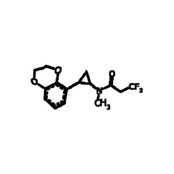 CN(C(=O)CC(F)(F)F)C1CC1c1cccc2c1OCCO2